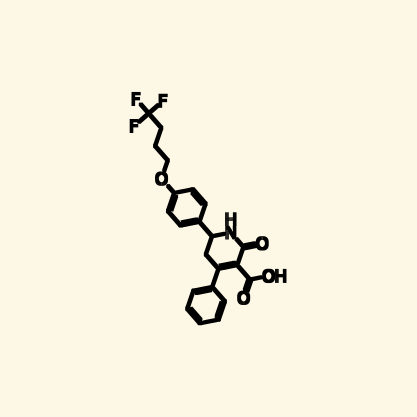 O=C(O)C1=C(c2ccccc2)CC(c2ccc(OCCCC(F)(F)F)cc2)NC1=O